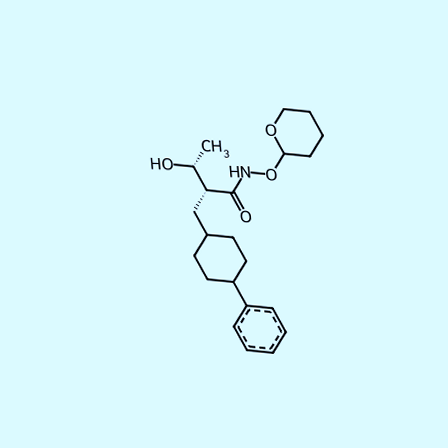 C[C@@H](O)[C@@H](CC1CCC(c2ccccc2)CC1)C(=O)NOC1CCCCO1